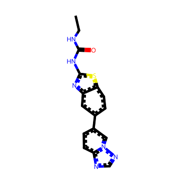 CCNC(=O)Nc1nc2cc(-c3ccc4ncnn4c3)ccc2s1